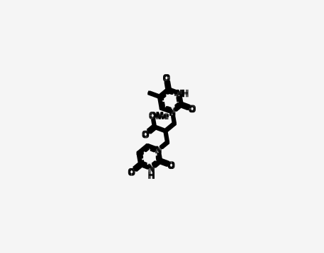 COC(=O)C(Cn1ccc(=O)[nH]c1=O)Cn1cc(C)c(=O)[nH]c1=O